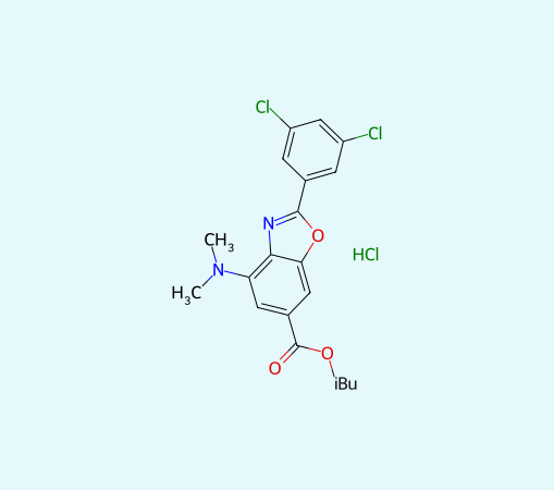 CCC(C)OC(=O)c1cc(N(C)C)c2nc(-c3cc(Cl)cc(Cl)c3)oc2c1.Cl